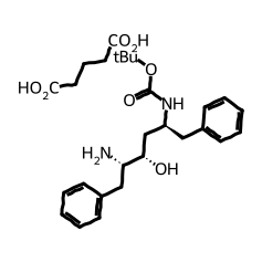 CC(C)(C)OC(=O)N[C@@H](Cc1ccccc1)C[C@H](O)[C@@H](N)Cc1ccccc1.O=C(O)CCCC(=O)O